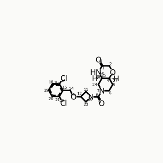 O=C1CO[C@H]2CCN(C(=O)N3CC(OCc4c(Cl)cccc4Cl)C3)C[C@H]2N1